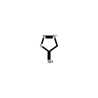 N=C1C[N+]=NS1